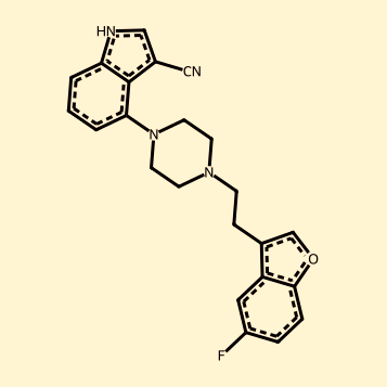 N#Cc1c[nH]c2cccc(N3CCN(CCc4coc5ccc(F)cc45)CC3)c12